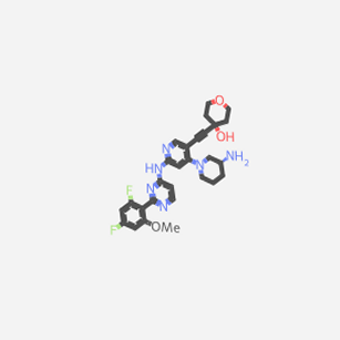 COc1cc(F)cc(F)c1-c1nccc(Nc2cc(N3CCC[C@H](N)C3)c(C#CC3(O)CCOCC3)cn2)n1